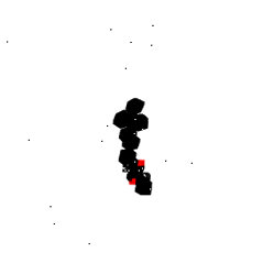 c1ccc(-c2c3ccccc3c(-c3ccc4cc(-c5ccc6sc7c(ccc8c7ccc7c9ccccc9oc78)c6c5)ccc4c3)c3ccccc23)cc1